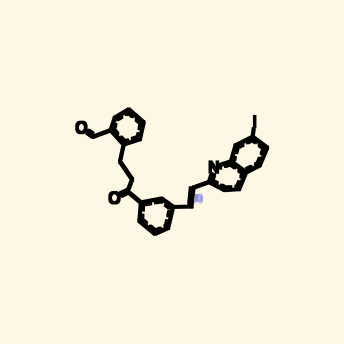 O=Cc1ccccc1CCC(=O)c1cccc(/C=C/c2ccc3ccc(I)cc3n2)c1